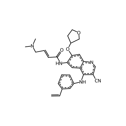 C=Cc1cccc(Nc2c(C#N)cnc3cc(OC4CCOC4)c(NC(=O)/C=C/CN(C)C)cc23)c1